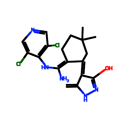 C=c1[nH]nc(O)/c1=C1\CC(C)(C)CC\C1=C(\N)Nc1c(Cl)cncc1Cl